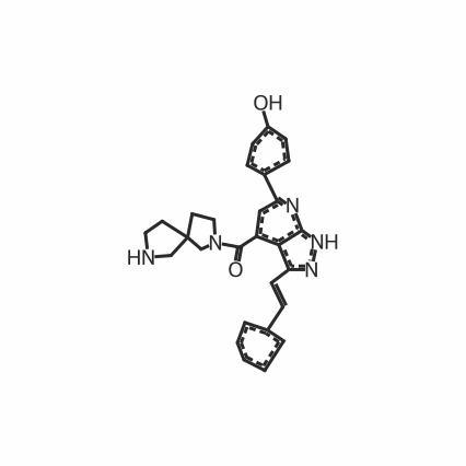 O=C(c1cc(-c2ccc(O)cc2)nc2[nH]nc(C=Cc3ccccc3)c12)N1CCC2(CCNC2)C1